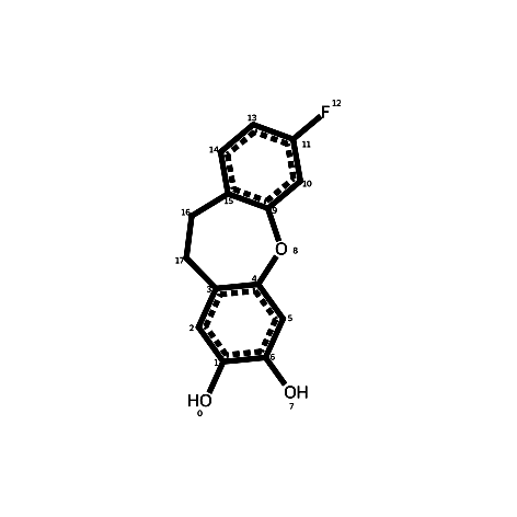 Oc1cc2c(cc1O)Oc1cc(F)ccc1CC2